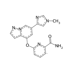 Cn1cnc(-c2cc(Oc3cc[c]c(C(N)=O)n3)c3ccnn3c2)c1